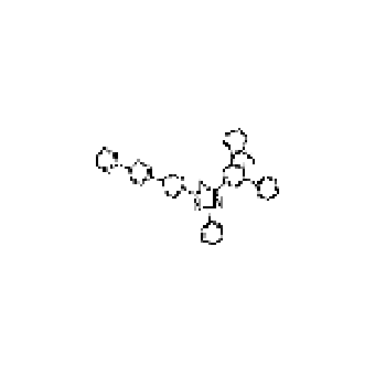 c1ccc(-c2ccc(-c3ccc(-c4nc(-c5ccccc5)nc(-c5cc(-c6ccccc6)c6sc7ccccc7c6c5)n4)cc3)cc2)cc1